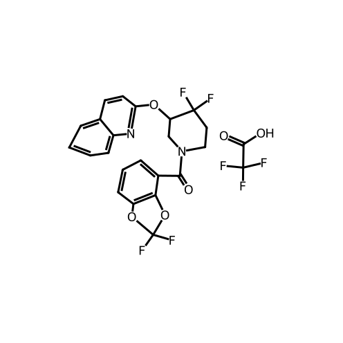 O=C(O)C(F)(F)F.O=C(c1cccc2c1OC(F)(F)O2)N1CCC(F)(F)C(Oc2ccc3ccccc3n2)C1